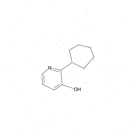 Oc1cccnc1C1[CH]CCCC1